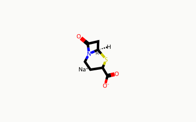 O=C([O-])C1CCN2C(=O)C[C@H]2S1.[Na+]